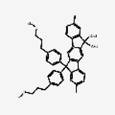 CCCCCCCCC1(CCCCCCCC)c2cc(C)ccc2-c2cc3c(cc21)-c1ccc(C)cc1C3(c1ccc(CCCOCC)cc1)c1ccc(CCCOCC)cc1